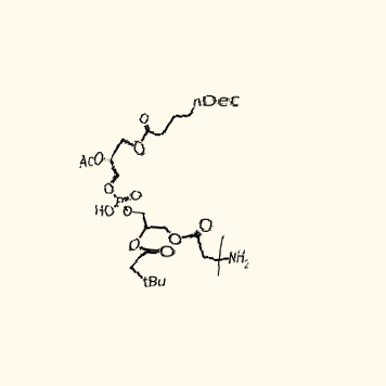 CCCCCCCCCCCCCC(=O)OC[C@H](COP(=O)(O)OCC(COC(=O)CC(C)(C)N)OC(=O)CC(C)(C)C)OC(C)=O